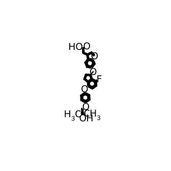 CC(C)(O)COc1ccc(Oc2ccc(F)c3c2CC[C@H]3Oc2ccc3c(c2)OCC3CC(=O)O)cc1